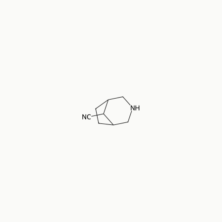 N#CC1C2CCC1CNC2